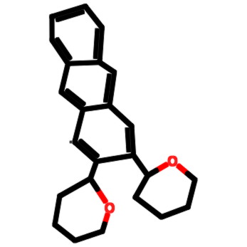 [c]1c(C2CCCCO2)c(C2CCCCO2)cc2cc3ccccc3cc12